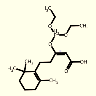 CCO[PH2](OCC)O/C(=C/C(=O)O)CCC1=C(C)CCCC1(C)C